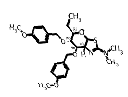 CC[C@H]1OC2SC(N(C)C)=N[C@@H]2[C@@H](OCc2ccc(OC)cc2)[C@@H]1OCc1ccc(OC)cc1